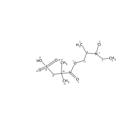 CCN(Cl)C(C)COC(=O)C(C)(C)CS(=O)(=O)O